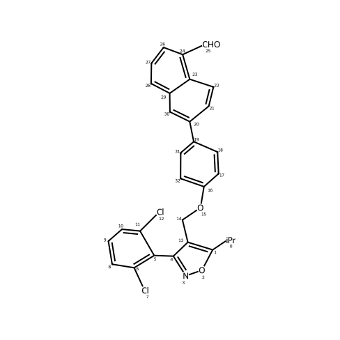 CC(C)c1onc(-c2c(Cl)cccc2Cl)c1COc1ccc(-c2ccc3c(C=O)cccc3c2)cc1